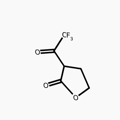 O=C1OCCC1C(=O)C(F)(F)F